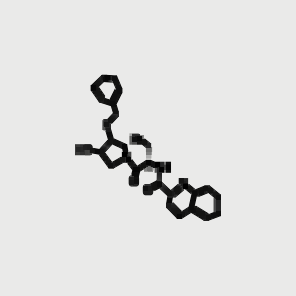 CC(C)C[C@H](NC(=O)c1ccc2ccccc2n1)C(=O)N1CC(O)C(SCc2ccccc2)C1